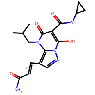 CC(C)Cn1c(=O)c(C(=O)NC2CC2)c(O)n2ncc(/C=C/C(N)=O)c12